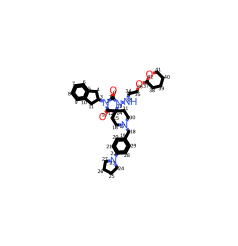 O=C1N(C2Cc3ccccc3C2)C(=O)C2(CCN(Cc3ccc(N4CCCC4)cc3)CC2)N1NCCOC1CCCCO1